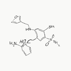 NS(=O)(=O)c1cc(C(=O)O)c(NCc2ccoc2)cc1S.Nc1ccccc1